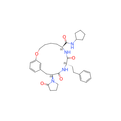 O=C(NC1CCCC1)[C@@H]1CCCCOc2cccc(c2)C[C@H](N2CCCC2=O)C(=O)N[C@@H](CCc2ccccc2)C(=O)N1